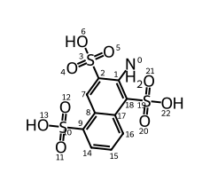 Nc1c(S(=O)(=O)O)cc2c(S(=O)(=O)O)cccc2c1S(=O)(=O)O